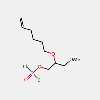 C=CCCCCOC(COC)COP(=O)(Cl)Cl